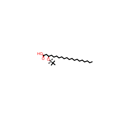 CCCCCCCCCCCCCCCCCC(CC(=O)O)O[Si](C)(C)C(C)(C)C